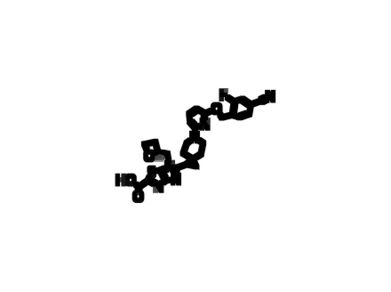 N#Cc1ccc(COc2cccc(N3CCC4(CC3)CC4c3nc4nc(C(=O)O)sc4n3C[C@@H]3CCO3)n2)c(F)c1